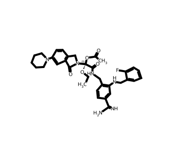 CCO[C@](OC(C)=O)(C(=O)NCc1ccc(C(=N)N)cc1NCc1ccccc1F)N1Cc2ccc(N3CCCCC3)cc2C1=O